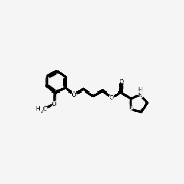 COc1ccccc1OCCCOC(=O)C1NCCS1